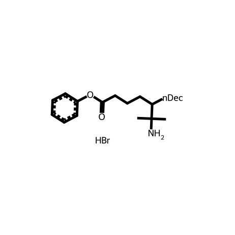 Br.CCCCCCCCCCC(CCCC(=O)Oc1ccccc1)C(C)(C)N